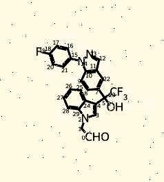 O=CCn1cc(C(O)(c2ccc3c(cnn3-c3ccc(F)cc3)c2)C(F)(F)F)c2ccccc21